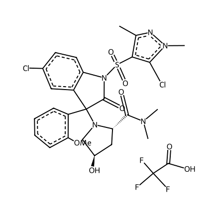 COc1ccccc1C1(N2C[C@H](O)C[C@H]2C(=O)N(C)C)C(=O)N(S(=O)(=O)c2c(C)nn(C)c2Cl)c2ccc(Cl)cc21.O=C(O)C(F)(F)F